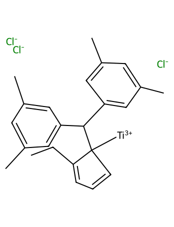 CCC1=CC=C[C]1([Ti+3])C(c1cc(C)cc(C)c1)c1cc(C)cc(C)c1.[Cl-].[Cl-].[Cl-]